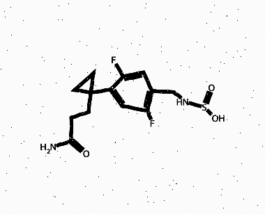 NC(=O)CCC1(c2cc(F)c(CNS(=O)O)cc2F)CC1